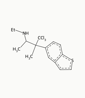 CCNC(C)C(C)(c1ccc2sccc2c1)C(Cl)(Cl)Cl